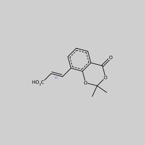 CC1(C)OC(=O)c2cccc(/C=C/C(=O)O)c2O1